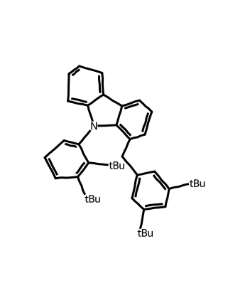 CC(C)(C)c1cc(Cc2cccc3c4ccccc4n(-c4cccc(C(C)(C)C)c4C(C)(C)C)c23)cc(C(C)(C)C)c1